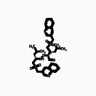 CC(C)C[C@@H](CS(=O)(=O)Cc1cnc2ccccc2c1)NON(C=O)[C@@H](CC(C)C)CS(=O)(=O)Cc1cnc2ccccc2c1